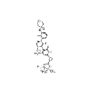 Cc1cnc(-c2cccc(N=S3(=O)CCOCC3)c2F)c(F)c1-n1c(C)cc([C@H]2C[C@@H]2B2OC(C)(C)C(C)(C)O2)c(Cl)c1=O